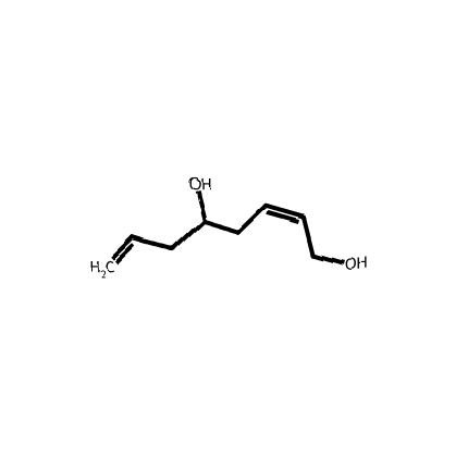 C=CCC(O)C/C=C\CO